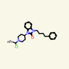 CCCC(Cl)N1CCC(n2c(=O)n(CCCCc3ccccc3)c3ccccc32)CC1